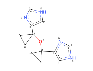 c1nc(C2(OC3(c4c[nH]cn4)CC3)CC2)c[nH]1